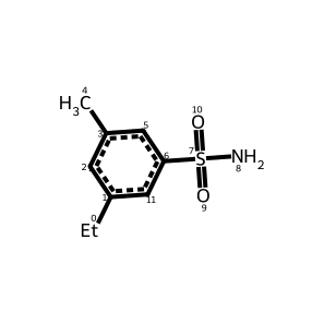 CCc1[c]c(C)cc(S(N)(=O)=O)c1